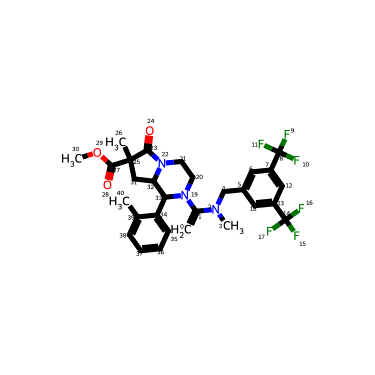 C=C(N(C)Cc1cc(C(F)(F)F)cc(C(F)(F)F)c1)N1CCN2C(=O)C(C)(C(=O)OC)CC2C1c1ccccc1C